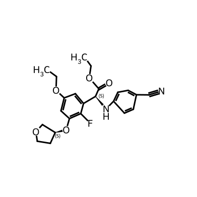 CCOC(=O)[C@@H](Nc1ccc(C#N)cc1)c1cc(OCC)cc(O[C@H]2CCOC2)c1F